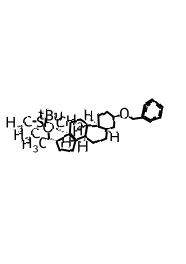 C=C[C@]12CC[C@H]3[C@@H](CC[C@@H]4C[C@H](OCc5ccccc5)CC[C@@H]43)[C@@H]1CC[C@@H]2C(C)O[Si](C)(C)C(C)(C)C